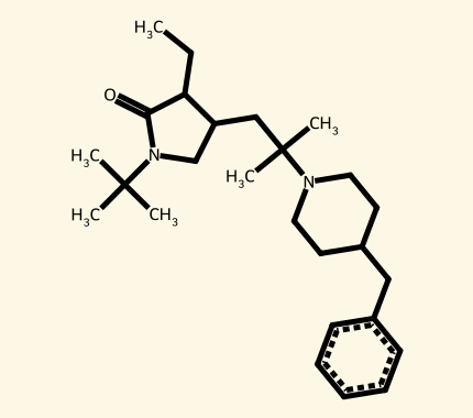 CCC1C(=O)N(C(C)(C)C)CC1CC(C)(C)N1CCC(Cc2ccccc2)CC1